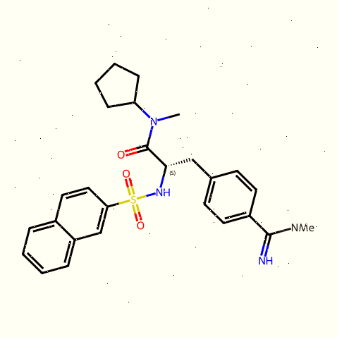 CNC(=N)c1ccc(C[C@H](NS(=O)(=O)c2ccc3ccccc3c2)C(=O)N(C)C2CCCC2)cc1